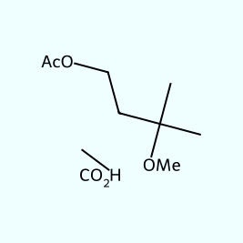 CC(=O)O.COC(C)(C)CCOC(C)=O